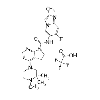 Cc1cn2cc(NC(=O)N3CCc4c(N5CCN(C)C(C)(C)C5)ccnc43)c(F)cc2n1.O=C(O)C(F)(F)F